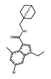 CCn1cc(C(=O)NCC23CCC(CC2)CC3)c2c(C)cc(Br)cc21